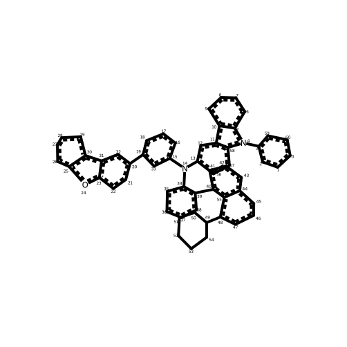 c1ccc(-n2c3ccccc3c3cc(N(c4cccc(-c5ccc6oc7ccccc7c6c5)c4)c4ccccc4-c4cccc5cccc(C6CCCCC6)c45)ccc32)cc1